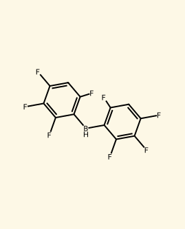 Fc1cc(F)c(Bc2c(F)cc(F)c(F)c2F)c(F)c1F